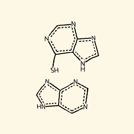 Sc1ncnc2nc[nH]c12.c1ncc2[nH]cnc2n1